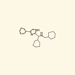 c1ccc(-c2c[nH]c(C(NCC3CCCCC3)C3CCCCC3)n2)cc1